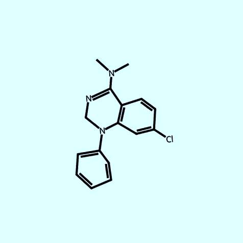 CN(C)C1=NCN(c2ccccc2)c2cc(Cl)ccc21